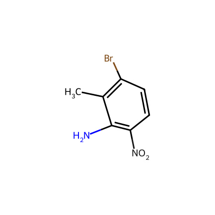 Cc1c(Br)ccc([N+](=O)[O-])c1N